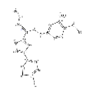 CCCO/N=C(\COc1ccc(OCC)c(C(=O)O)c1)c1cc(-c2ccc(F)cc2)no1